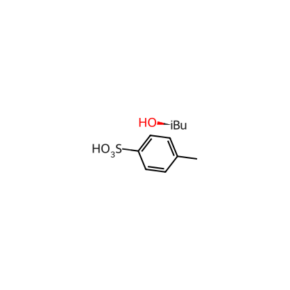 CC[C@H](C)O.Cc1ccc(S(=O)(=O)O)cc1